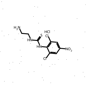 Cl.NCCNC(=S)Nc1c(Cl)cc([N+](=O)[O-])cc1Cl